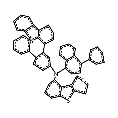 c1ccc(-c2ccc(N(c3ccc(-c4ccccc4)c4ccccc34)c3cccc4sc5ccccc5c34)cc2-c2cccc3c2sc2ccccc23)cc1